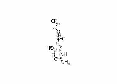 CC(=O)NC(CC[PH](=O)COCCCl)C(=O)O